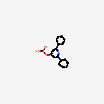 OB(O)Oc1cc(-c2ccccc2)nc(-c2ccccc2)c1